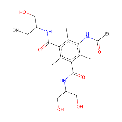 CCC(=O)Nc1c(C)c(C(=O)NC(CO)CO)c(C)c(C(=O)NC(CO)CN=O)c1C